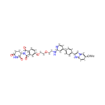 COc1ccc2nc(-c3ccc(-c4ccnc(NCCOCCOc5ccc6c(c5)C(=O)N(C5CCC(=O)NC5=O)C6=O)c4)cc3)cn2c1